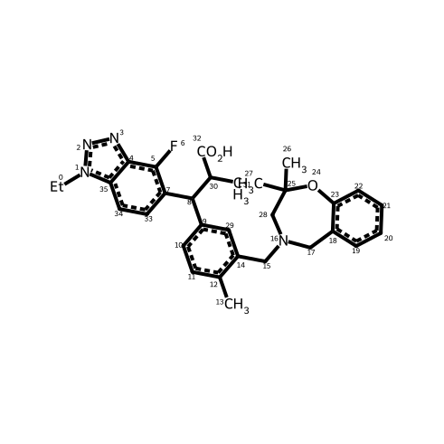 CCn1nnc2c(F)c(C(c3ccc(C)c(CN4Cc5ccccc5OC(C)(C)C4)c3)C(C)C(=O)O)ccc21